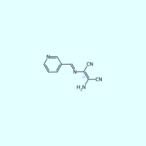 N#C/C(N)=C(\C#N)N=Cc1cccnc1